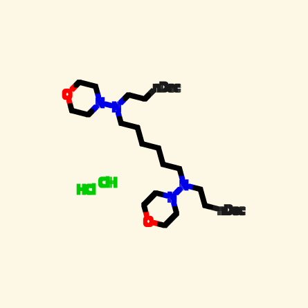 CCCCCCCCCCCCN(CCCCCCN(CCCCCCCCCCCC)N1CCOCC1)N1CCOCC1.Cl.Cl